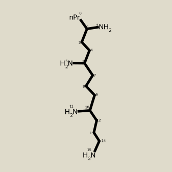 CCCC(N)CCC(N)CCCC(N)CCCN